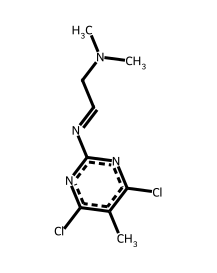 Cc1c(Cl)nc(/N=C/CN(C)C)nc1Cl